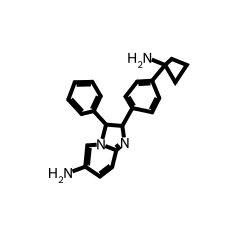 NC1=CN2C(=NC(c3ccc(C4(N)CCC4)cc3)C2c2ccccc2)C=C1